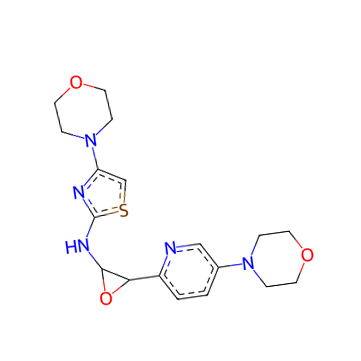 c1cc(C2OC2Nc2nc(N3CCOCC3)cs2)ncc1N1CCOCC1